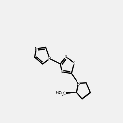 O=C(O)[C@@H]1CCCN1c1nc(-n2ccnc2)ns1